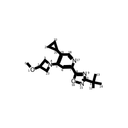 COC1CN(c2cc(-c3nc(C(C)(C)C)no3)ncc2C2CC2)C1